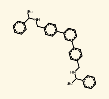 CC(C)(C)C(NCc1ccc(-c2cccc(-c3ccc(CNC(c4ccccc4)C(C)(C)C)cc3)c2)cc1)c1ccccc1